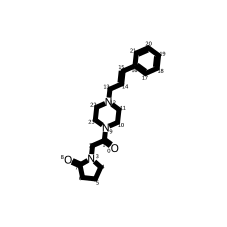 O=C(CN1CCCC1=O)N1CCN(C/C=C/c2ccccc2)CC1